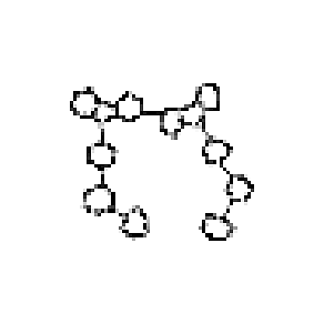 c1ccc(-c2cccc(-c3ccc(-n4c5ccccc5c5cc(-c6ccc7c8ccccc8n(-c8ccc(-c9cccc(-c%10ccccc%10)c9)cc8)c7c6)ccc54)cc3)c2)cc1